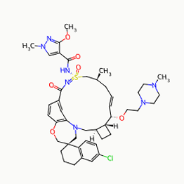 COc1nn(C)cc1C(=O)N[S@@]1(=O)=NC(=O)c2ccc3c(c2)N(C[C@@H]2CC[C@H]2[C@@H](OCCN2CCN(C)CC2)/C=C/C[C@H](C)C1)C[C@@]1(CCCc2cc(Cl)ccc21)CO3